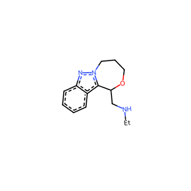 CCNCC1OCCCn2nc3ccccc3c21